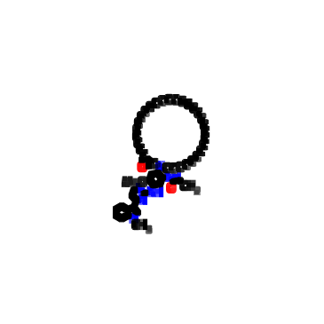 C=CC(=O)Nc1cc(Nc2nccc(-c3cn(C)c4ccccc34)n2)c(OC)cc1N1CCCCCCCCCCCCCCCCCCCCCCCCCCCCCC2(COC2)C1